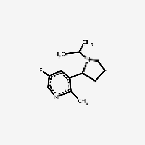 Cc1ncc(F)cc1C1CCCN1C(C)C